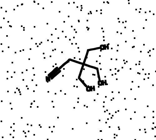 N#CCC(CO)(CO)CO